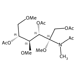 COC[C@@H](OC(C)=O)[C@H](OC)[C@H](OC(C)=O)[C@](COC(C)=O)(OC)N(C)C(C)=O